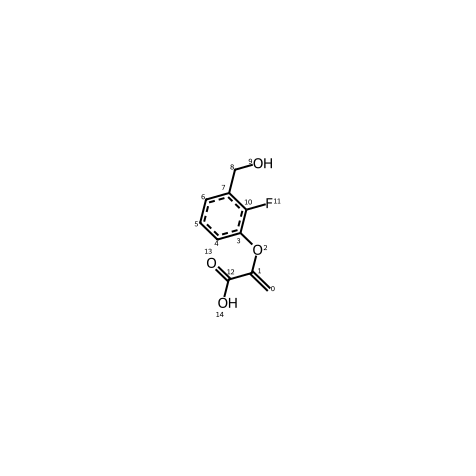 C=C(Oc1cccc(CO)c1F)C(=O)O